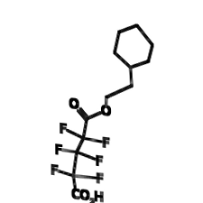 O=C(O)C(F)(F)C(F)(F)C(F)(F)C(=O)OCCC1CCCCC1